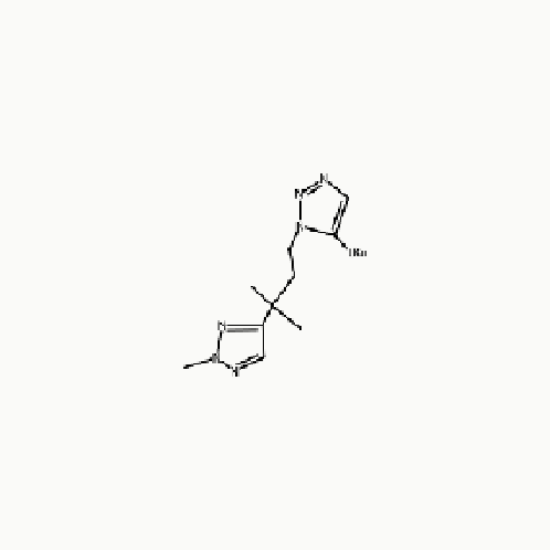 Cn1ncc(C(C)(C)CCn2nncc2C(C)(C)C)n1